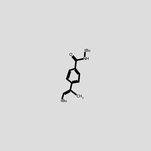 C/C(=C\C(C)(C)C)c1ccc(C(=O)NC(C)(C)C)cc1